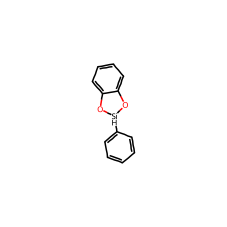 c1ccc([SiH]2Oc3ccccc3O2)cc1